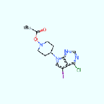 CC(C)(C)C(=O)ON1CCC(n2cc(I)c3c(Cl)ncnc32)CC1